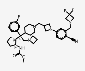 COC(=O)N[C@H]1CCC[C@@H]1[C@](CN1CCC1)(c1cccc(F)c1)C1CCN(CC2CN(c3ccc(C#N)c(CN4CC(F)(F)C4)c3)C2)CC1